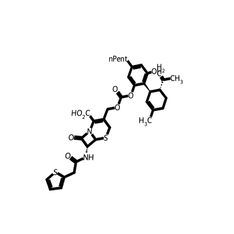 C=C(C)[C@@H]1CCC(C)=C[C@H]1c1c(O)cc(CCCCC)cc1OC(=O)OCC1=C(C(=O)O)N2C(=O)[C@@H](NC(=O)Cc3cccs3)C2SC1